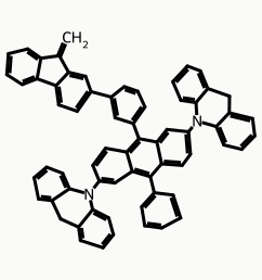 C=C1c2ccccc2-c2ccc(-c3cccc(-c4c5ccc(N6c7ccccc7Cc7ccccc76)cc5c(-c5ccccc5)c5ccc(N6c7ccccc7Cc7ccccc76)cc45)c3)cc21